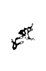 CC(C)=NN=C1NC(=O)CN1Cc1ccc(OCc2c(Cl)cccc2Cl)cc1